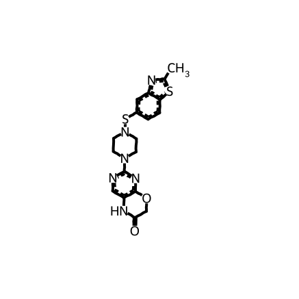 Cc1nc2cc(SN3CCN(c4ncc5c(n4)OCC(=O)N5)CC3)ccc2s1